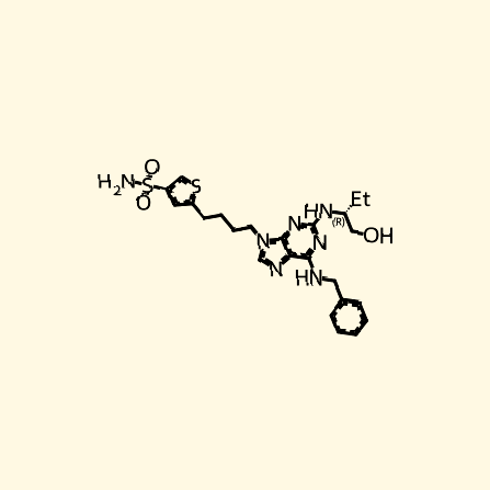 CC[C@H](CO)Nc1nc(NCc2ccccc2)c2ncn(CCCCc3cc(S(N)(=O)=O)cs3)c2n1